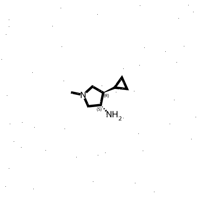 CN1C[C@@H](N)[C@H](C2CC2)C1